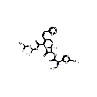 CC(=O)OC(C)OC(=O)C1=C(/C=C\c2csnn2)CS[C@H]2C(NC(=O)/C(=N\O)c3csc(N)n3)C(=O)N12